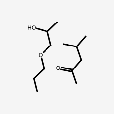 CC(=O)CC(C)C.CCCOCC(C)O